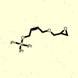 CC(C)[Si](OC/C=C\COCC1CO1)(C(C)C)C(C)C